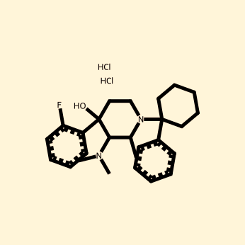 CC1C(N(C)C)C(O)(c2ccccc2F)CCN1C1(c2ccccc2)CCCCC1.Cl.Cl